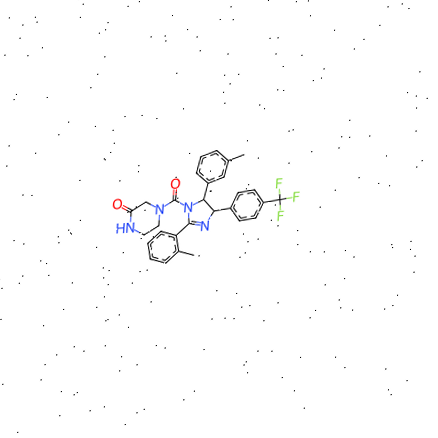 Cc1cccc(C2C(c3ccc(C(F)(F)F)cc3)N=C(c3ccccc3C)N2C(=O)N2CCNC(=O)C2)c1